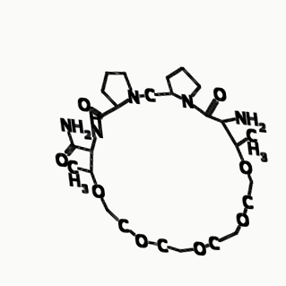 CC1OCCOCCOCCOCCOC(C)C(C(N)=O)NC(=O)C2CCCN2CC2CCCN2C(=O)C1N